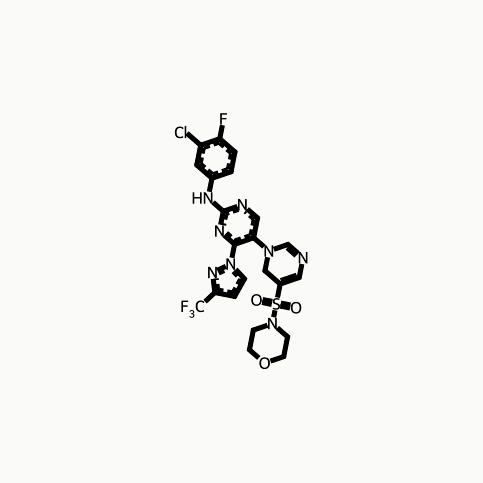 O=S(=O)(C1=CN=CN(c2cnc(Nc3ccc(F)c(Cl)c3)nc2-n2ccc(C(F)(F)F)n2)C1)N1CCOCC1